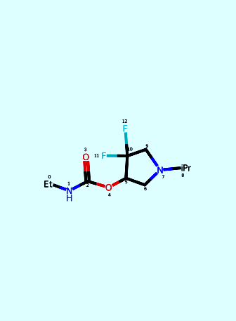 CCNC(=O)OC1CN(C(C)C)CC1(F)F